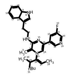 C=C1C(NCCC2=CNC3C=CC=CC23)=NC(c2cncc(F)c2)=CN1/C(=C\C)C(C)CCCC